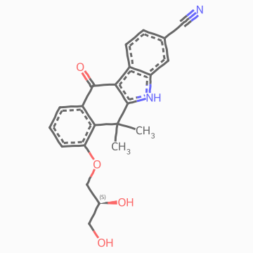 CC1(C)c2[nH]c3cc(C#N)ccc3c2C(=O)c2cccc(OC[C@@H](O)CO)c21